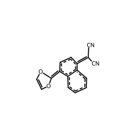 N#CC(C#N)=c1ccc(=C2OC=CO2)c2ccccc12